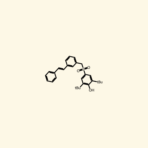 CC(C)(C)c1cc(S(=O)(=O)Cc2cccc(C=Cc3ccccc3)c2)cc(C(C)(C)C)c1O